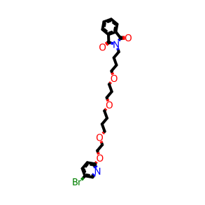 O=C1c2ccccc2C(=O)N1CCCCOCCCOCCCCOCCOc1ccc(Br)cn1